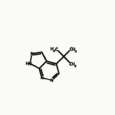 CC(C)(C)c1cnnc2[nH]ncc12